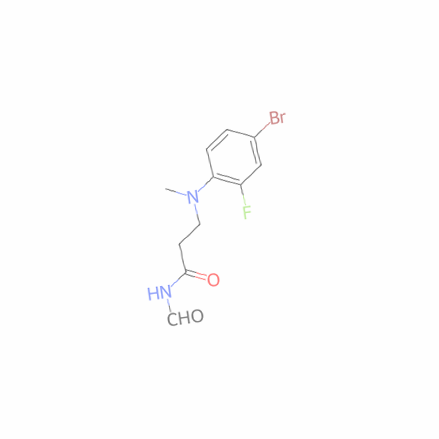 CN(CCC(=O)NC=O)c1ccc(Br)cc1F